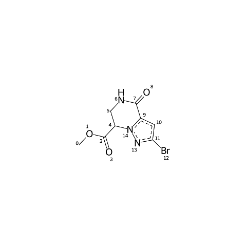 COC(=O)C1CNC(=O)c2cc(Br)nn21